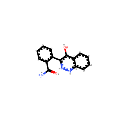 NC(=O)c1ccccc1-c1nnc2ccccc2c1O